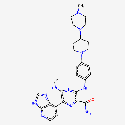 CC(C)Nc1nc(Nc2ccc(N3CCC(N4CCN(C)CC4)CC3)cc2)c(C(N)=O)nc1-c1ccnc2[nH]cnc12